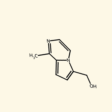 Cc1nccn2c(CO)ccc12